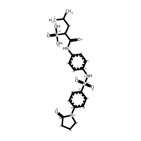 CC(C)CC(C(=O)Nc1ccc(NS(=O)(=O)c2ccc(N3CCCC3=O)cc2)cc1)P(=O)(O)O